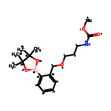 CC(C)(C)OC(=O)NCCCOCc1ccccc1B1OC(C)(C)C(C)(C)O1